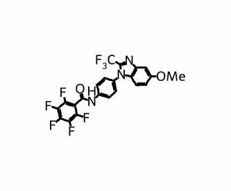 COc1ccc2c(c1)nc(C(F)(F)F)n2-c1ccc(NC(=O)c2c(F)c(F)c(F)c(F)c2F)cc1